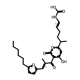 CCCCCCc1ccc(/C=C(\C)C(=O)c2c(O)cc(C(C)CC/C=C/NC(=O)O)oc2=O)o1